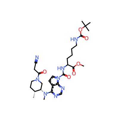 COC(=O)C(CCCCNC(=O)OC(C)(C)C)NC(=O)n1ccc2c(N(C)[C@H]3CN(C(=O)CC#N)CC[C@H]3C)ncnc21